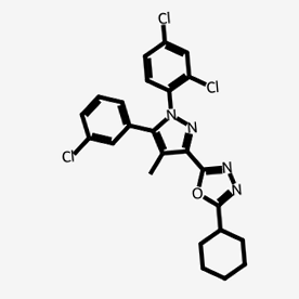 Cc1c(-c2nnc(C3CCCCC3)o2)nn(-c2ccc(Cl)cc2Cl)c1-c1cccc(Cl)c1